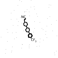 N#CC=CC1CCC(C2CCC(c3ccc(C(F)(F)F)cc3)CC2)CC1